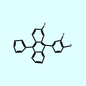 Fc1ccc2c(-c3ccccc3)c3ccccc3c(-c3ccc(F)c(F)c3)c2c1